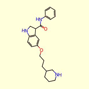 O=C(Nc1ccccc1)C1CNc2ccc(OCCCC3CCCNC3)cc21